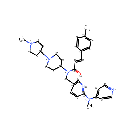 CN1CCC(N2CCC(N(Cc3ccc(N(C)c4ccncc4)nc3)C(=O)/C=C/c3ccc(C(F)(F)F)cc3)CC2)CC1